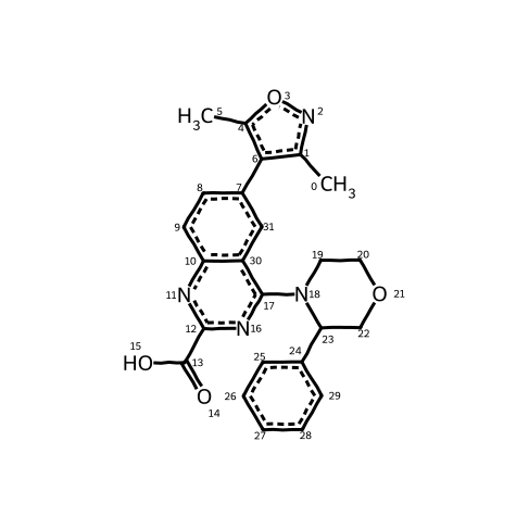 Cc1noc(C)c1-c1ccc2nc(C(=O)O)nc(N3CCOCC3c3ccccc3)c2c1